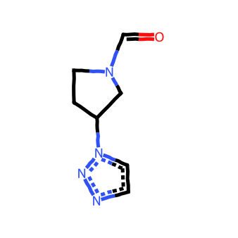 O=CN1CCC(n2ccnn2)C1